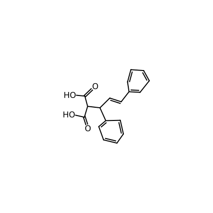 O=C(O)C(C(=O)O)C(/C=C/c1ccccc1)c1ccccc1